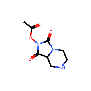 CC(=O)ON1C(=O)C2CNCCN2C1=O